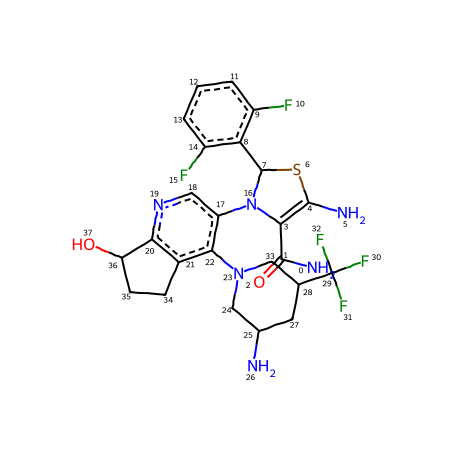 NC(=O)C1=C(N)SC(c2c(F)cccc2F)N1c1cnc2c(c1N1CC(N)CC(C(F)(F)F)C1)CCC2O